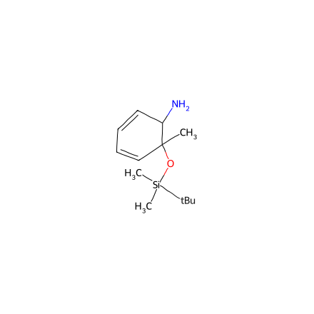 CC1(O[Si](C)(C)C(C)(C)C)C=CC=CC1N